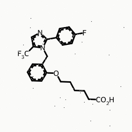 O=C(O)CCCCCOc1ccccc1Cn1c(C(F)(F)F)cnc1-c1ccc(F)cc1